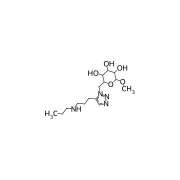 CCCNCCCc1cnnn1CC1OC(OC)C(O)C(O)C1O